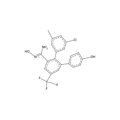 Cc1cc(Cl)cc(-c2c(/C(N)=N/O)cc(C(F)(F)F)cc2-c2ccc(O)cc2)c1